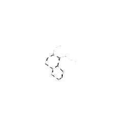 CCOc1ccc2ccccc2c1CC(C)(C)C